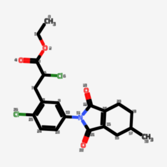 CCOC(=O)C(Cl)Cc1cc(N2C(=O)C3=C(CC(C)CC3)C2=O)ccc1Cl